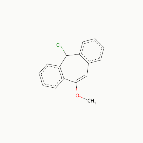 COC1=Cc2ccccc2C(Cl)c2ccccc21